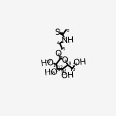 CC(=S)NCCO[C@H]1OC(CO)[C@@H](O)C(O)C1O